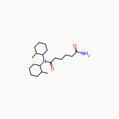 CC1CCCCC1N(C(=O)CCCCC(N)=O)C1CCCCC1C